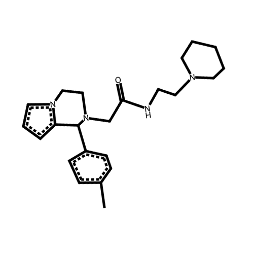 Cc1ccc(C2c3cccn3CCN2CC(=O)NCCN2CCCCC2)cc1